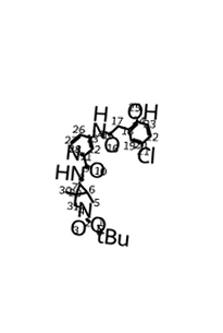 CC(C)(C)OC(=O)N1CC2C(NC(=O)c3cc(NC(=O)Cc4cc(Cl)ccc4O)ccn3)C2(C)C1